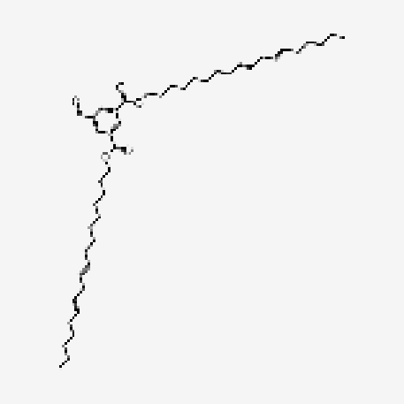 CCCCCC=CCC=CCCCCCCCCOC(=O)c1cc(C=O)cc(C(=O)OCCCCCCCCC=CCC=CCCCCC)c1